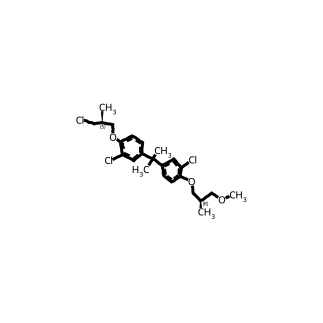 COC[C@@H](C)COc1ccc(C(C)(C)c2ccc(OC[C@H](C)CCl)c(Cl)c2)cc1Cl